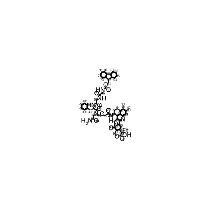 CC[C@@]1(O)C(=O)OCc2c1cc1n(c2=O)Cc2c-1nc1cc(F)c(C)c3c1c2[C@@H](NC(=O)COCN(CC(N)=O)C(=O)[C@H](Cc1ccccc1)NC(=O)CNC(=O)CNC(=O)OCC1c2ccccc2-c2ccccc21)CC3